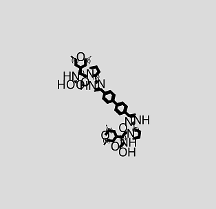 C[C@@H]1CC([C@H](NC(=O)O)C(=O)N2CCC[C@H]2c2nc(-c3ccc(-c4ccc(-c5c[nH]c([C@@H]6CCCN6C(=O)[C@@H](NC(=O)O)C6C[C@@H](C)O[C@H](C)C6)n5)cc4)cc3)c[nH]2)C[C@@H](C)O1